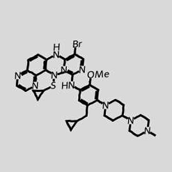 COc1cc(N2CCC(N3CCN(C)CC3)CC2)c(CC2CC2)cc1Nc1ncc(Br)c(Nc2ccc3nccnc3c2N(C)SC2CC2)n1